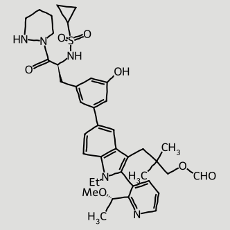 CCn1c(-c2cccnc2[C@H](C)OC)c(CC(C)(C)COC=O)c2cc(-c3cc(O)cc(C[C@H](NS(=O)(=O)C4CC4)C(=O)N4CCCCN4)c3)ccc21